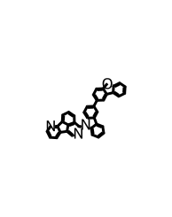 c1cnc2c(c1)-c1cnc(-n3c4ccccc4c4cc(-c5ccc6oc7ccccc7c6c5)ccc43)c3cccc-2c13